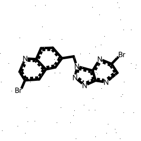 Brc1cnc2ccc(Cn3nnc4ncc(Br)nc43)cc2c1